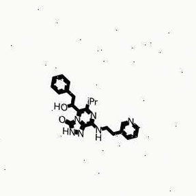 CC(C)c1nc(NCCc2cccnc2)c2n[nH]c(=O)n2c1C(O)Cc1ccccc1